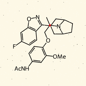 COc1cc(NC(C)=O)ccc1OCC(C)N1C2CCC1CC(c1noc3cc(F)ccc13)C2